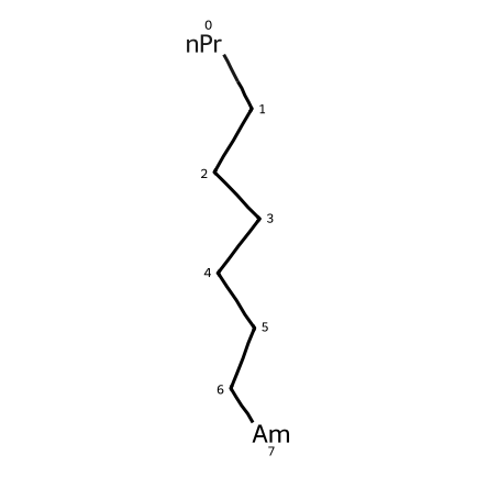 CCCCCCCC[CH2][Am]